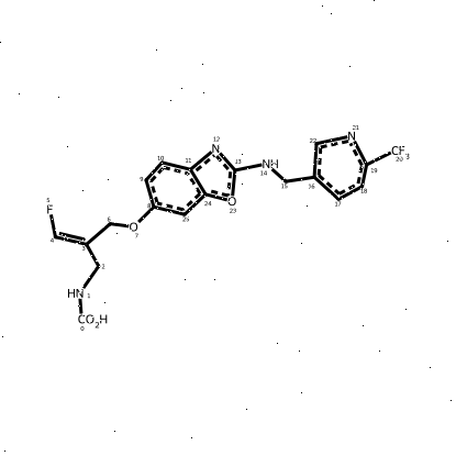 O=C(O)NC/C(=C/F)COc1ccc2nc(NCc3ccc(C(F)(F)F)nc3)oc2c1